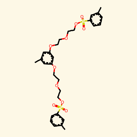 Cc1cc(OCCOCCOS(=O)(=O)c2cccc(C)c2)cc(OCCOCCOS(=O)(=O)c2cccc(C)c2)c1